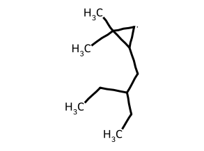 CCC(CC)CC1[CH]C1(C)C